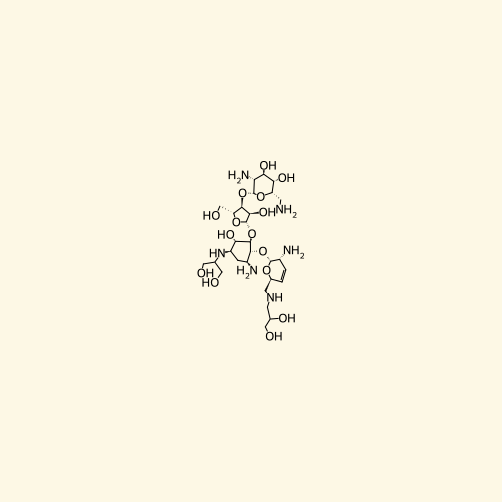 NC[C@@H]1O[C@H](O[C@H]2[C@@H](O)[C@H](O[C@@H]3[C@@H](O)[C@H](NC(CO)CO)C[C@H](N)[C@H]3O[C@H]3O[C@H](CNCC(O)CO)C=C[C@H]3N)O[C@@H]2CO)[C@H](N)[C@@H](O)[C@@H]1O